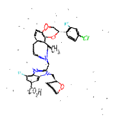 CC1c2c(ccc3c2O[C@@H](c2ccc(Cl)cc2F)CO3)CCN1Cc1nc2c(F)cc(C(=O)O)cc2n1C[C@@H]1CCO1